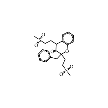 CS(=O)(=O)CCC1C(=O)C(CCS(C)(=O)=O)(Cc2ccccc2)Oc2ccccc21